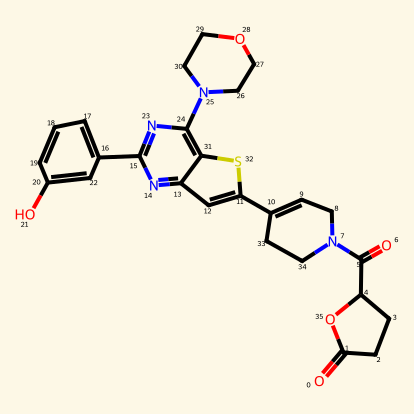 O=C1CCC(C(=O)N2CC=C(c3cc4nc(-c5cccc(O)c5)nc(N5CCOCC5)c4s3)CC2)O1